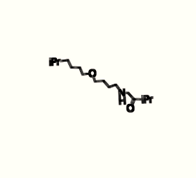 CC(C)CCCCOCCCCNCC(=O)C(C)C